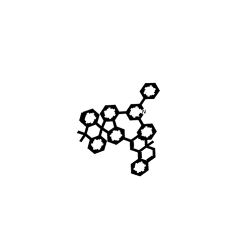 CC12C=CC(c3ccc4c(c3)-c3c(-c5cc(-c6ccccc6)nc(-c6ccccc6)c5)cccc3C43c4ccc#cc4C(C)(C)c4ccccc43)=CC1=c1ccccc1=CC2